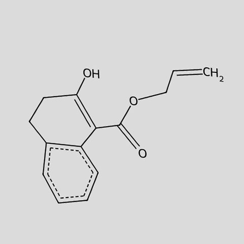 C=CCOC(=O)C1=C(O)CCc2ccccc21